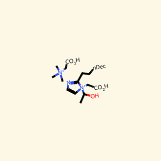 CCCCCCCCCCCCC1=NC=C[N+]1(CC(=O)O)C(C)O.C[N+](C)(C)CC(=O)O